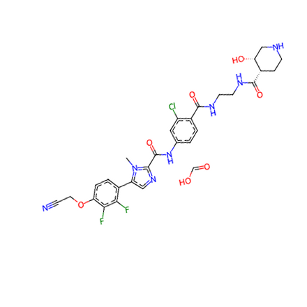 Cn1c(-c2ccc(OCC#N)c(F)c2F)cnc1C(=O)Nc1ccc(C(=O)NCCNC(=O)[C@H]2CCNC[C@H]2O)c(Cl)c1.O=CO